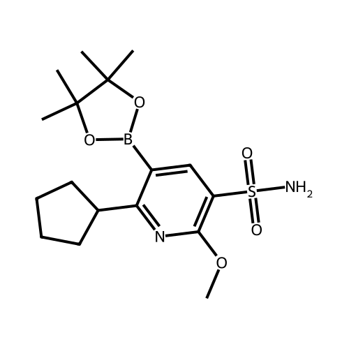 COc1nc(C2CCCC2)c(B2OC(C)(C)C(C)(C)O2)cc1S(N)(=O)=O